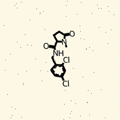 CN1C(=O)CCC1C(=O)NCc1ccc(Cl)cc1Cl